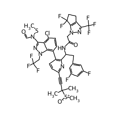 CSN(C=O)c1nn(CC(F)(F)F)c2c(-c3ccc(C#CC(C)(C)[S+](C)[O-])nc3C(Cc3cc(F)cc(F)c3)NC(=O)Cn3nc(C(F)(F)F)c4c3C(F)(F)CC4)ccc(Cl)c12